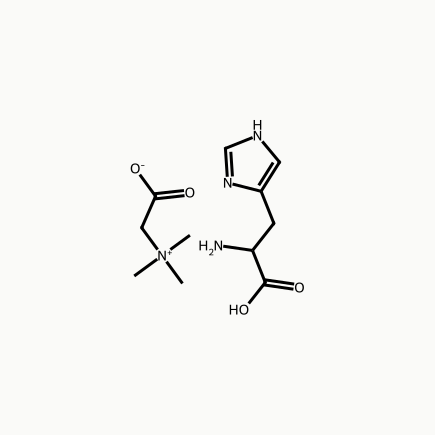 C[N+](C)(C)CC(=O)[O-].NC(Cc1c[nH]cn1)C(=O)O